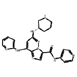 O=C(Nc1ccncc1)c1cnc2c(Nc3ccccn3)cc(N[C@H]3CCCNC3)nn12